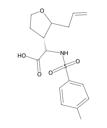 C=CCC1OCC[C@H]1C(NS(=O)(=O)c1ccc(C)cc1)C(=O)O